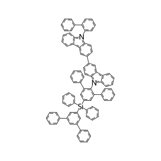 c1ccc(-c2cc(-c3ccccc3)cc([Si](c3ccccc3)(c3ccccc3)c3cc(-c4ccccc4)c(-n4c5ccccc5c5cc(-c6ccc7c(c6)c6ccccc6n7-c6ccccc6-c6ccccc6)ccc54)c(-c4ccccc4)c3)c2)cc1